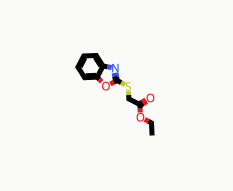 CCOC(=O)CSc1nc2ccccc2o1